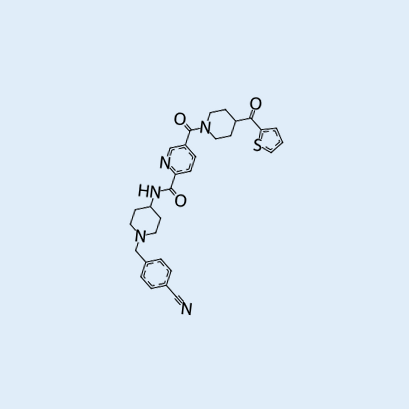 N#Cc1ccc(CN2CCC(NC(=O)c3ccc(C(=O)N4CCC(C(=O)c5cccs5)CC4)cn3)CC2)cc1